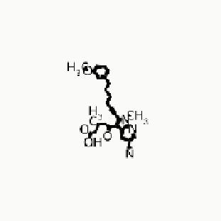 COc1cccc(CCCCC#Cc2c(C(=O)CC(C)CC(=O)O)c3cc(C#N)cnc3n2C)c1